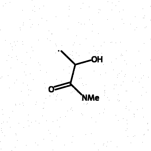 [CH2]C(O)C(=O)NC